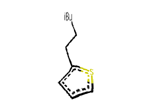 CCC(C)CCc1cccs1